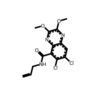 C=CCNC(=O)c1c(Cl)c(Cl)cc2nc(OC)c(OC)nc12